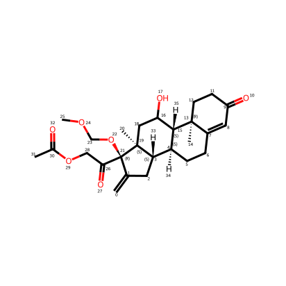 C=C1C[C@H]2[C@@H]3CCC4=CC(=O)CC[C@]4(C)[C@H]3C(O)C[C@]2(C)[C@@]1(OCOC)C(=O)COC(C)=O